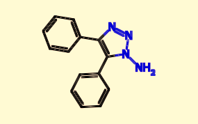 Nn1nnc(-c2ccccc2)c1-c1ccccc1